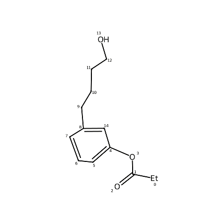 CCC(=O)Oc1cccc(CCCCO)c1